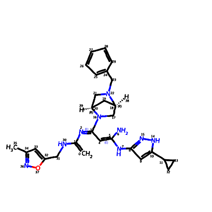 C=C(/N=C(\C=C(/N)Nc1cc(C2CC2)[nH]n1)N1C[C@H]2C[C@@H]1CN2Cc1ccccc1)NCc1cc(C)no1